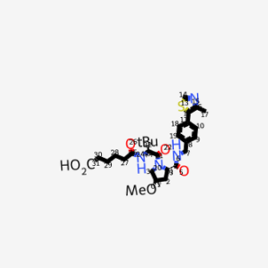 CO[C@@H]1C[C@@H](C(=O)NCc2ccc(-c3scnc3C)cc2)N(C(=O)[C@@H](NC(=O)CCCCC(=O)O)C(C)(C)C)C1